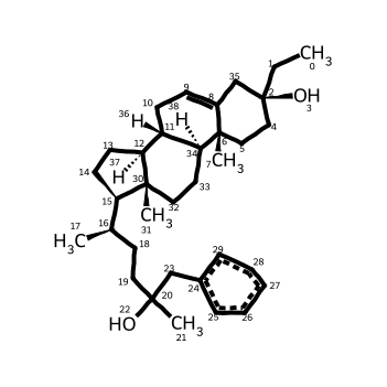 CC[C@]1(O)CC[C@@]2(C)C(=CC[C@H]3[C@@H]4CC[C@H]([C@H](C)CCC(C)(O)Cc5ccccc5)[C@@]4(C)CC[C@@H]32)C1